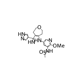 COc1ncc(NC2=C(C(=N)c3cn[nH]c3)CCOCC2)cc1N[S+](C)[O-]